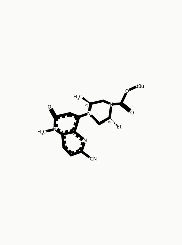 CC[C@@H]1CN(c2cc(=O)n(C)c3ccc(C#N)nc23)[C@@H](C)CN1C(=O)OC(C)(C)C